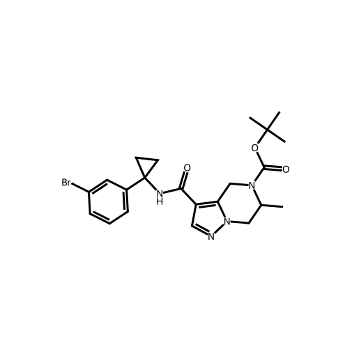 CC1Cn2ncc(C(=O)NC3(c4cccc(Br)c4)CC3)c2CN1C(=O)OC(C)(C)C